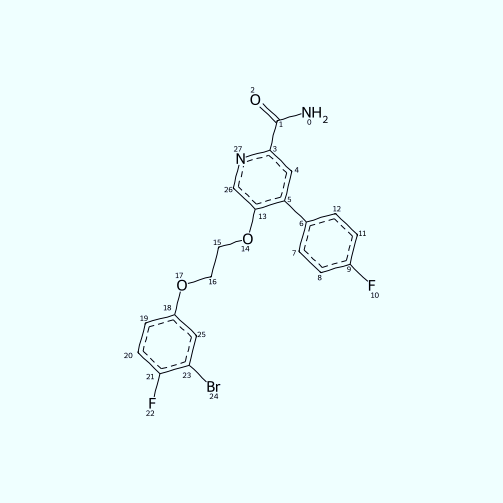 NC(=O)c1cc(-c2ccc(F)cc2)c(OCCOc2ccc(F)c(Br)c2)cn1